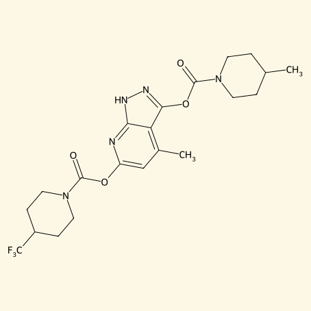 Cc1cc(OC(=O)N2CCC(C(F)(F)F)CC2)nc2[nH]nc(OC(=O)N3CCC(C)CC3)c12